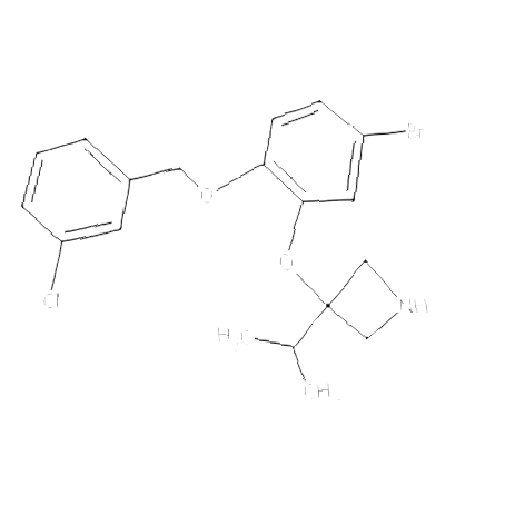 CC(C)C1(Oc2cc(Br)ccc2OCc2cccc(Cl)c2)CNC1